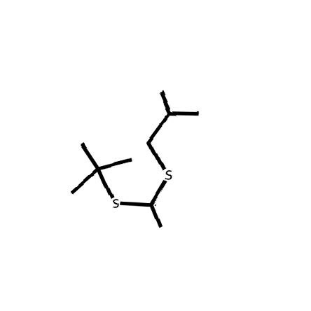 C[C](SCC(C)C)SC(C)(C)C